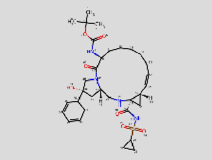 CC(C)(C)OC(=O)N[C@H]1CCCCC/C=C\[C@@H]2C[C@@]2(C(=O)NS(=O)(=O)C2CC2)NC[C@@H]2C[C@@](O)(C3C=CC=CC3)CN2C1=O